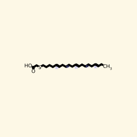 CC/C=C/C/C=C/C/C=C/C/C=C/C/C=C/CCCCSCC(=O)O